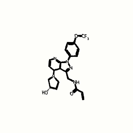 C=CC(=O)NCC1=NN(c2ccc(OC(F)(F)F)cc2)C2=NC=CC(N3CC[C@H](O)C3)C12